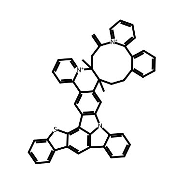 C=C1CC2(C)[n+]3ccccc3-c3cc4c5c6sc7ccccc7c6cc6c7ccccc7n(c4cc3C2(C)CCc2ccccc2-c2cccc[n+]21)c65